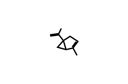 C=C(C)C12CC=C(C)C1C2